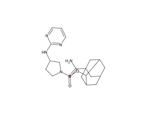 NC(=O)C12CC3CC(C1)C(OC(=O)N1CCC(Nc4ncccn4)C1)C(C3)C2